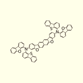 c1ccc2c(c1)oc1c(N(c3ccc4c(c3)oc3cc5cc6oc7cc(N(c8cccc9c8oc8ccccc89)c8cccc9c8sc8ccccc89)ccc7c6cc5cc34)c3cccc4c3sc3ccccc34)cccc12